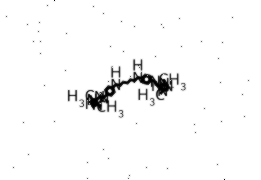 Cn1nc[n+](C)c1N=Nc1ccc(NCCCCCNc2ccc(N=Nc3n(C)nc[n+]3C)cc2)cc1